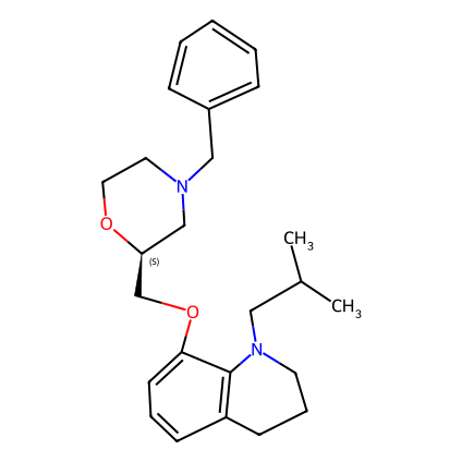 CC(C)CN1CCCc2cccc(OC[C@@H]3CN(Cc4ccccc4)CCO3)c21